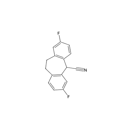 N#CC1c2ccc(F)cc2CCc2ccc(F)cc21